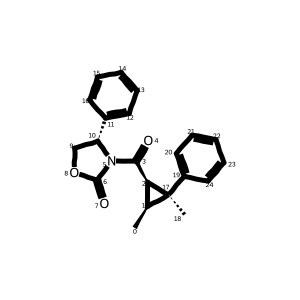 C[C@H]1[C@@H](C(=O)N2C(=O)OC[C@@H]2c2ccccc2)[C@@]1(C)c1ccccc1